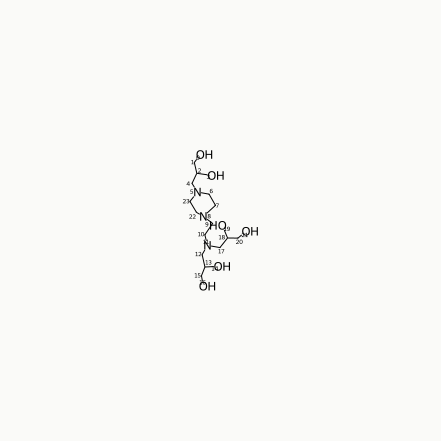 OCC(O)CN1CCN(CCN(CC(O)CO)CC(O)CO)CC1